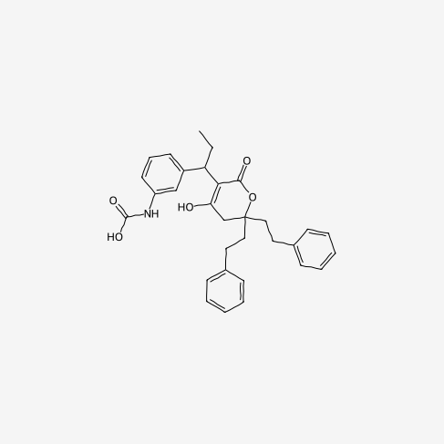 CCC(C1=C(O)CC(CCc2ccccc2)(CCc2ccccc2)OC1=O)c1cccc(NC(=O)O)c1